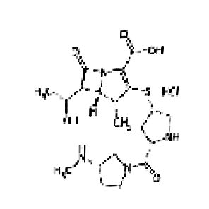 CN[C@H]1CCN(C(=O)[C@@H]2C[C@H](SC3=C(C(=O)O)N4C(=O)[C@H]([C@@H](C)O)[C@H]4[C@H]3C)CN2)C1.Cl